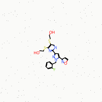 OCCSc1cnc(-c2cc(-c3ccon3)n(Cc3ccccc3F)n2)nc1SCCO